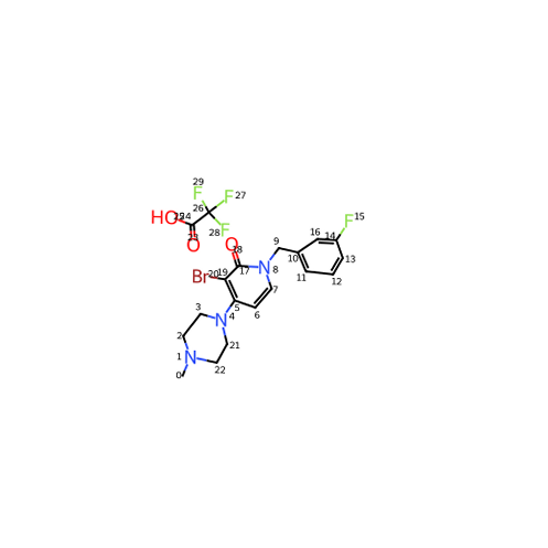 CN1CCN(c2ccn(Cc3cccc(F)c3)c(=O)c2Br)CC1.O=C(O)C(F)(F)F